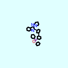 O=P(c1ccccc1)(c1ccccc1)c1cccc(-c2cccc(-c3nc4ccccc4c4nc5ccccn5c34)c2)c1